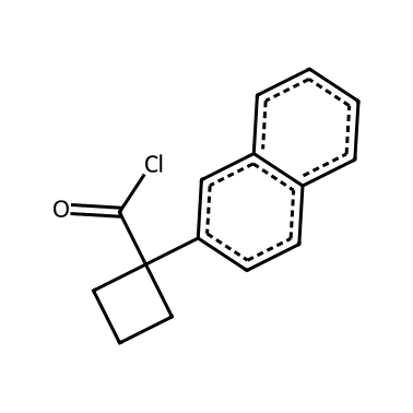 O=C(Cl)C1(c2ccc3ccccc3c2)CCC1